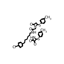 Cc1ccc(SC2CC(=O)N2CC(=O)NCCCCCCc2ccc(Cl)cc2)cc1.Cc1ccc(SC2NC(=O)C2=O)cc1